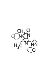 CCn1nc(-c2ccnn2C2CCCCO2)c2nc(Cl)cc(N3CCOC[C@H]3C)c21